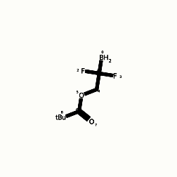 BC(F)(F)COC(=O)C(C)(C)C